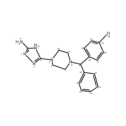 Nc1nnc(N2CCN(C(c3ccccc3)c3ccc(Cl)cc3)CC2)[nH]1